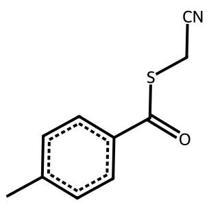 Cc1ccc(C(=O)SCC#N)cc1